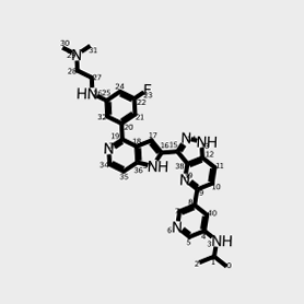 CC(C)Nc1cncc(-c2ccc3[nH]nc(-c4cc5c(-c6cc(F)cc(NCCN(C)C)c6)nccc5[nH]4)c3n2)c1